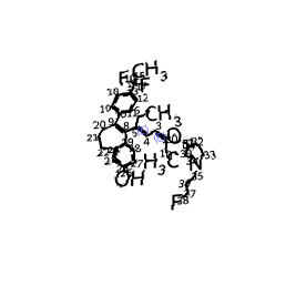 CC/C(=C\C=C(/CC)C1=C(c2ccc(C(C)(F)F)cc2)CCCc2cc(O)ccc21)O[C@H]1CCN(CCCF)C1